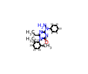 CCc1nc(N(N)c2ccccc2)nc(=O)n1-c1c(C)cccc1C